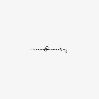 CCCCCCCCCCCCOC(=O)CCCCCCCCCCCN